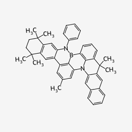 Cc1cc2c3c(c1)N1c4cc5ccccc5cc4C(C)(C)c4cccc(c41)B3N(c1ccccc1)c1cc3c(cc1-2)C(C)(C)CCC3(C)C